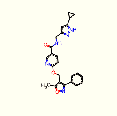 Cc1onc(-c2ccccc2)c1COc1ccc(C(=O)NCc2cc(C3CC3)[nH]n2)cn1